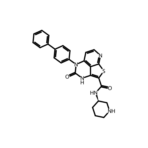 O=C(N[C@@H]1CCCNC1)c1sc2nccc3c2c1NC(=O)N3c1ccc(-c2ccccc2)cc1